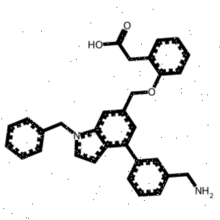 NCc1cccc(-c2cc(COc3ccccc3CC(=O)O)cc3c2ccn3Cc2ccccc2)c1